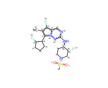 CS(=O)(=O)N1CC[C@@H](Nc2ncc3c(F)c(C#N)c(C4CCCC4F)n3n2)[C@H](F)C1